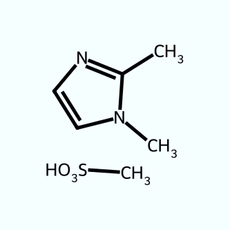 CS(=O)(=O)O.Cc1nccn1C